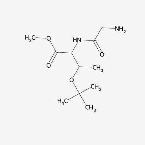 COC(=O)C(NC(=O)CN)C(C)OC(C)(C)C